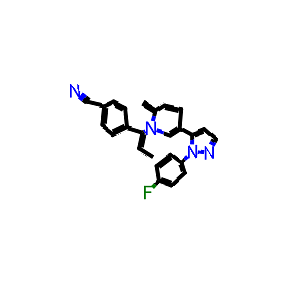 C=C1C=CC(c2ccnn2-c2ccc(F)cc2)=CN1/C(=C\C)c1ccc(C#N)cc1